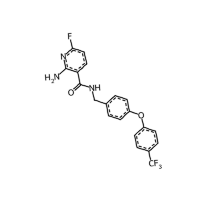 Nc1nc(F)ccc1C(=O)NCc1ccc(Oc2ccc(C(F)(F)F)cc2)cc1